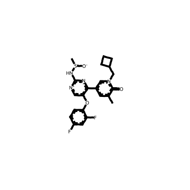 Cc1cc(-c2nc(N[S+](C)[O-])ncc2Oc2ccc(F)cc2F)cn(CC2CCC2)c1=O